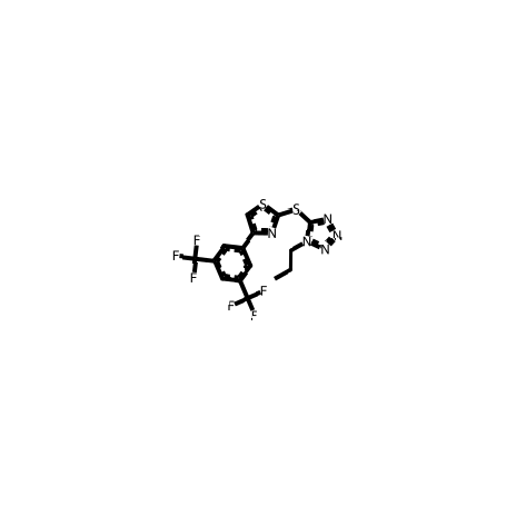 CCCn1nnnc1Sc1nc(-c2cc(C(F)(F)F)cc(C(F)(F)F)c2)cs1